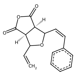 C=CC1OC(/C=C\c2ccccc2)[C@@H]2C(=O)OC(=O)[C@H]12